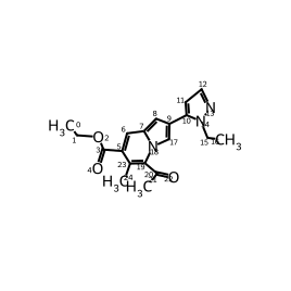 CCOC(=O)c1cc2cc(-c3ccnn3CC)cn2c(C(C)=O)c1C